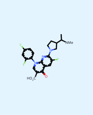 CNC(C)C1CCN(c2nc3c(cc2F)c(=O)c(C(=O)O)cn3-c2ccc(F)cc2F)C1